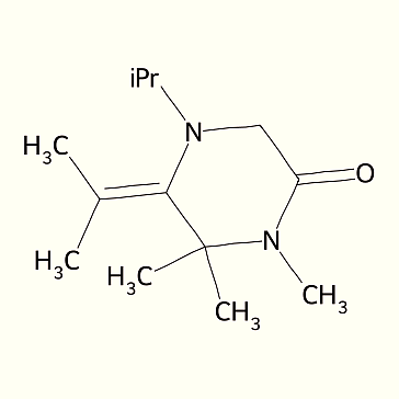 CC(C)=C1N(C(C)C)CC(=O)N(C)C1(C)C